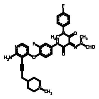 CN1CCC(CC#Cc2c(Oc3ccc(NC(=O)/C(=N/N(C)C=O)C(=O)N(C)c4ccc(F)cc4)cc3F)ccnc2N)CC1